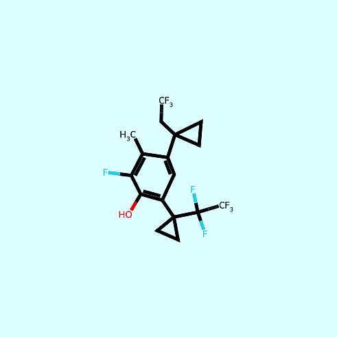 Cc1c(C2(CC(F)(F)F)CC2)cc(C2(C(F)(F)C(F)(F)F)CC2)c(O)c1F